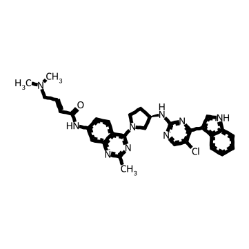 Cc1nc(N2CC[C@@H](Nc3ncc(Cl)c(-c4c[nH]c5ccccc45)n3)C2)c2ccc(NC(=O)/C=C/CN(C)C)cc2n1